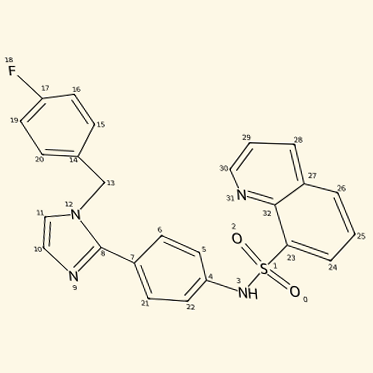 O=S(=O)(Nc1ccc(-c2nccn2Cc2ccc(F)cc2)cc1)c1cccc2cccnc12